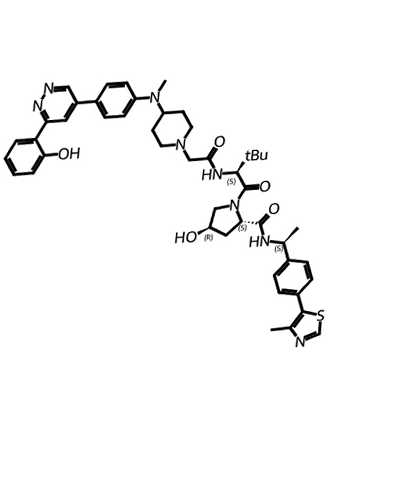 Cc1ncsc1-c1ccc([C@H](C)NC(=O)[C@@H]2C[C@@H](O)CN2C(=O)[C@@H](NC(=O)CN2CCC(N(C)c3ccc(-c4cnnc(-c5ccccc5O)c4)cc3)CC2)C(C)(C)C)cc1